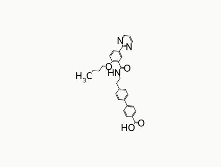 CCCCOc1ccc(-c2ncccn2)cc1C(=O)NCCc1ccc(-c2ccc(C(=O)O)cc2)cc1